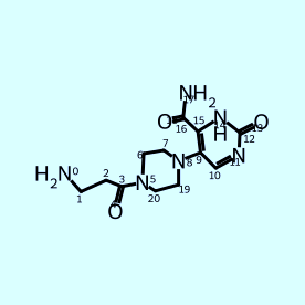 NCCC(=O)N1CCN(c2cnc(=O)[nH]c2C(N)=O)CC1